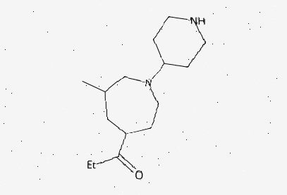 CCC(=O)C1CCN(C2CCNCC2)CC(C)C1